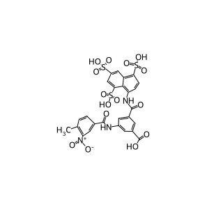 Cc1ccc(C(=O)Nc2cc(C(=O)O)cc(C(=O)Nc3ccc(S(=O)(=O)O)c4cc(S(=O)(=O)O)cc(S(=O)(=O)O)c34)c2)cc1[N+](=O)[O-]